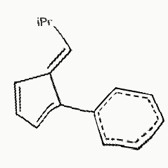 CC(C)C=C1C=CC=C1c1ccccc1